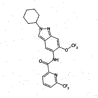 O=C(Nc1cc2cn(C3CCCCC3)nc2cc1OC(F)(F)F)c1cccc(C(F)(F)F)n1